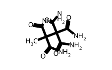 CC(C(N)=O)(C(N)=O)C(C(N)=O)(C(N)=O)C(N)=O